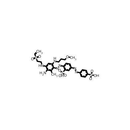 C=CS(=O)(=O)CCNc1cc(NCCCOC)c(/N=N/c2ccc(/N=N/c3ccc(S(=O)(=O)O)cc3)cc2S(=O)(=O)O)c(C)c1N